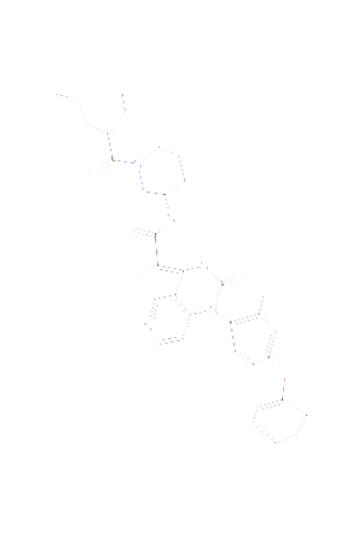 COCC(OC)C(=O)N1CCCC(NC(=O)c2sc3nccc4c3c2NC(=O)N4c2ccc(Oc3ccccc3)cc2C)C1